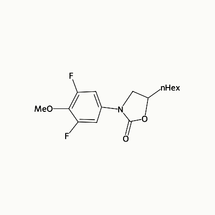 CCCCCCC1CN(c2cc(F)c(OC)c(F)c2)C(=O)O1